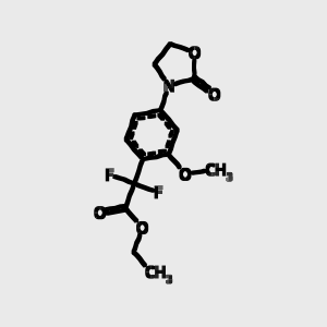 CCOC(=O)C(F)(F)c1ccc(N2CCOC2=O)cc1OC